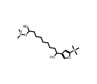 C[SiH](C)OC(CCCCCCCC(O)c1coc([Si](C)(C)C)c1)C(C)(C)C